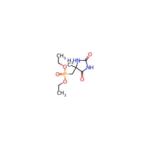 CCOP(=O)(CC1(C)NC(=O)NC1=O)OCC